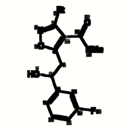 CCc1noc(CC(O)c2cccc(F)c2)c1C(=O)NC